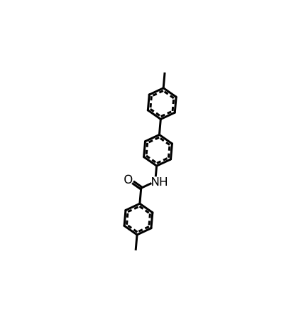 Cc1ccc(C(=O)Nc2ccc(-c3ccc(C)cc3)cc2)cc1